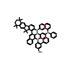 CC(C)(C)c1ccc(N2B3c4cc(N(c5ccccc5)c5ccccc5)ccc4N(c4ccc(C(C)(C)C)cc4-c4ccccc4)c4c3c(cc3ccccc43)-c3c2ccc2c3C(C)(C)c3cc4c(cc3-2)C(C)(C)CCC4(C)C)cc1